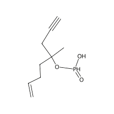 C#CCC(C)(CCC=C)O[PH](=O)O